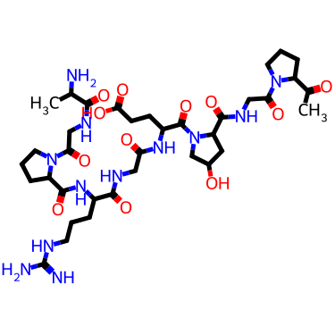 CC(=O)C1CCCN1C(=O)CNC(=O)C1CC(O)CN1C(=O)C(CCC(=O)O)NC(=O)CNC(=O)C(CCCNC(=N)N)NC(=O)C1CCCN1C(=O)CNC(=O)C(C)N